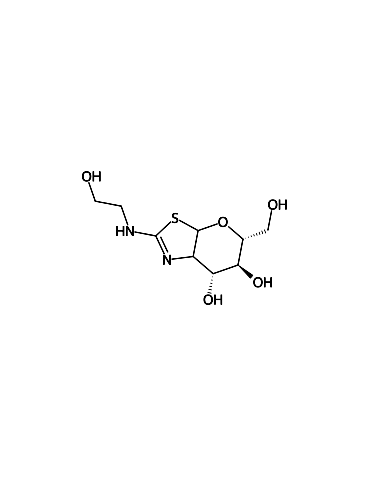 OCCNC1=NC2C(O[C@H](CO)[C@@H](O)[C@@H]2O)S1